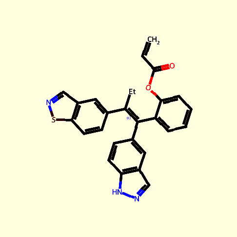 C=CC(=O)Oc1ccccc1/C(=C(\CC)c1ccc2sncc2c1)c1ccc2[nH]ncc2c1